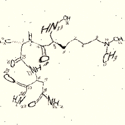 C[C@H](NC(=O)[C@H](CCCCN(C)C)NO)C(=O)NC(CC(N)=O)C(N)=O